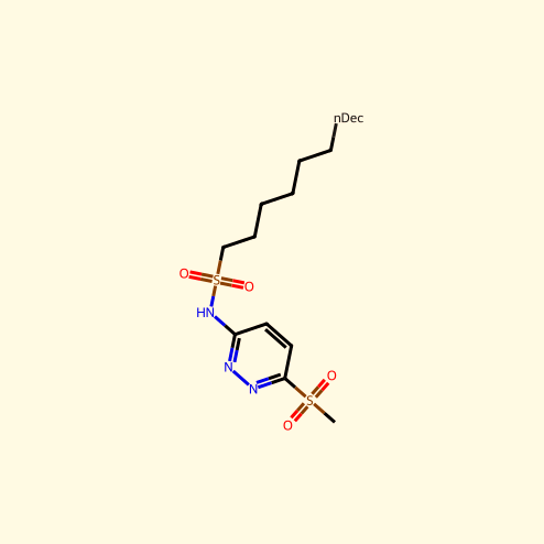 CCCCCCCCCCCCCCCCS(=O)(=O)Nc1ccc(S(C)(=O)=O)nn1